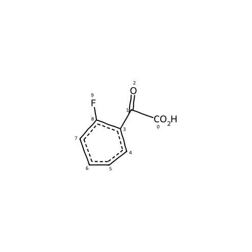 O=C(O)C(=O)c1ccccc1F